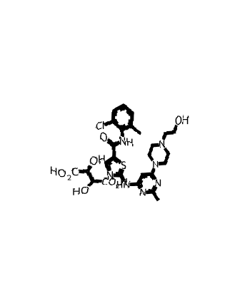 Cc1nc(Nc2ncc(C(=O)Nc3c(C)cccc3Cl)s2)cc(N2CCN(CCO)CC2)n1.O=C(O)C(O)C(O)C(=O)O